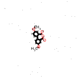 COc1ccc2c(c1)c(=O)oc(=O)c1cc(OC)ccc12